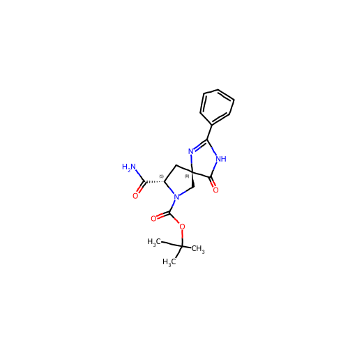 CC(C)(C)OC(=O)N1C[C@@]2(C[C@H]1C(N)=O)N=C(c1ccccc1)NC2=O